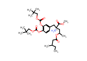 CCC(C)CC(=O)OC(C)C[C@@](N)(Cc1ccc(OC(=O)OCC(C)(C)C)c(OC(=O)OCC(C)(C)C)c1)C(=O)OC